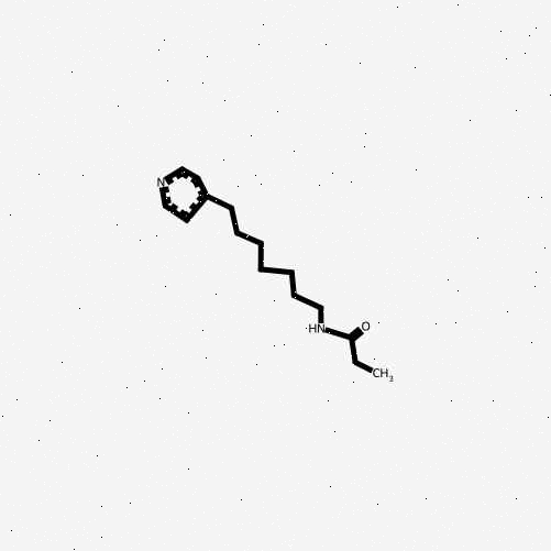 CCC(=O)NCCCCCCCc1ccncc1